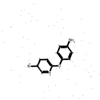 Nc1ccc(OC2=CCC(Br)C=N2)cc1